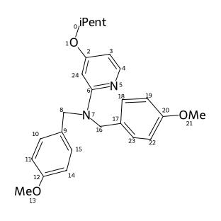 CCCC(C)Oc1ccnc(N(Cc2ccc(OC)cc2)Cc2ccc(OC)cc2)c1